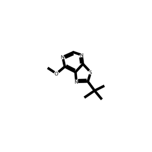 COc1ncnc2sc(C(C)(C)C)nc12